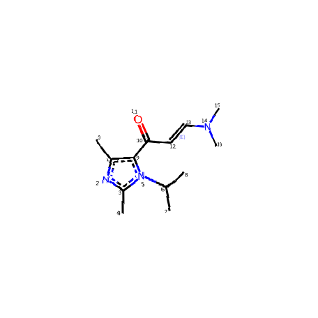 Cc1nc(C)n(C(C)C)c1C(=O)/C=C/N(C)C